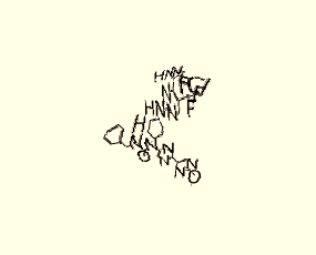 COc1ncc(-c2cnc(N(C(=O)NCc3ccccc3)[C@H]3CC[C@H](Nc4ncc(C(F)(F)F)c(-c5[nH]ncc5Cl)n4)CC3)cn2)cn1